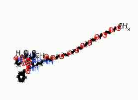 COCCOCCOCCOCCOCCOCCOCCOCCOCCOCC(=O)NCCCC[C@H](NC(=O)OCc1ccccc1)C(=O)N[C@H](C(=O)N[C@@H](C)C(=O)ON1C(=O)CCC1=O)C(C)C